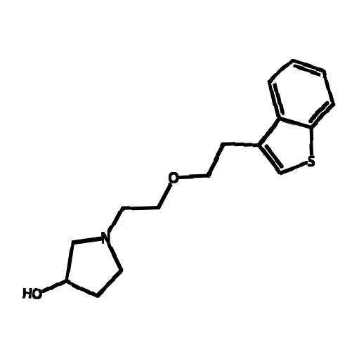 OC1CCN(CCOCCc2csc3ccccc23)C1